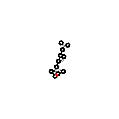 c1ccc(B(c2ccccc2)c2ccc(-c3ccc4c5c(cccc35)Oc3cc(-c5ccc(N(c6ccccc6-c6ccccc6)c6cccc7c6oc6ccccc67)cc5)ccc3-4)cc2)cc1